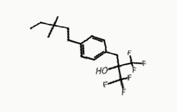 CCC(C)(C)CCc1ccc(CC(O)(C(F)(F)F)C(F)(F)F)cc1